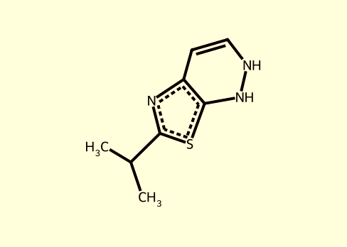 CC(C)c1nc2c(s1)NNC=C2